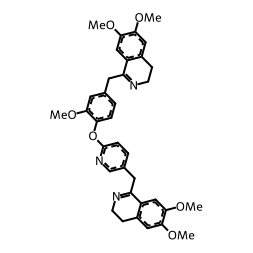 COc1cc2c(cc1OC)C(Cc1ccc(Oc3ccc(CC4=NCCc5cc(OC)c(OC)cc54)cc3OC)nc1)=NCC2